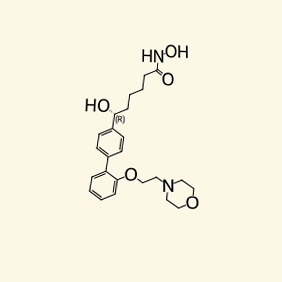 O=C(CCCC[C@@H](O)c1ccc(-c2ccccc2OCCN2CCOCC2)cc1)NO